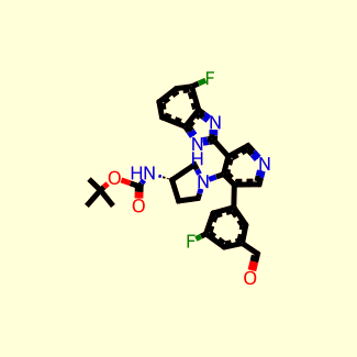 CC(C)(C)OC(=O)N[C@H]1CCN(c2c(-c3cc(F)cc(C=O)c3)cncc2-c2nc3c(F)cccc3[nH]2)C1